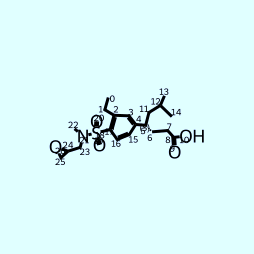 CCc1cc([C@@H](CCC(=O)O)CC(C)C)ccc1S(=O)(=O)N(C)CC1CO1